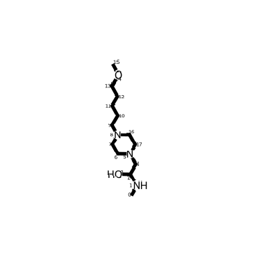 CNC(O)CN1CCN(CCCCCOC)CC1